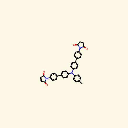 Cc1ccc(N(c2ccc(-c3ccc(N4C(=O)C=CC4=O)cc3)cc2)c2ccc(-c3ccc(N4C(=O)CCC4=O)cc3)cc2)cc1